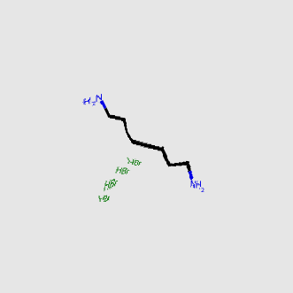 Br.Br.Br.Br.NCCCCCCN